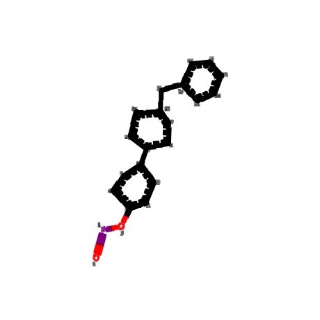 O=POc1ccc(-c2ccc(Cc3ccccc3)cc2)cc1